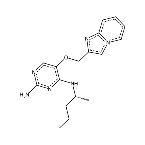 CCC[C@@H](C)Nc1nc(N)ncc1OCc1cn2ccccc2n1